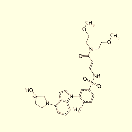 COCCN(CCOC)C(=O)C=CNS(=O)(=O)c1ccc(C)c(-n2ccc3c(N4CC[C@H](O)C4)cccc32)c1